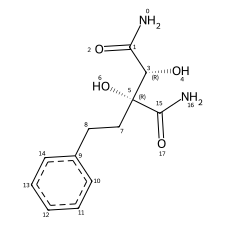 NC(=O)[C@H](O)[C@](O)(CCc1ccccc1)C(N)=O